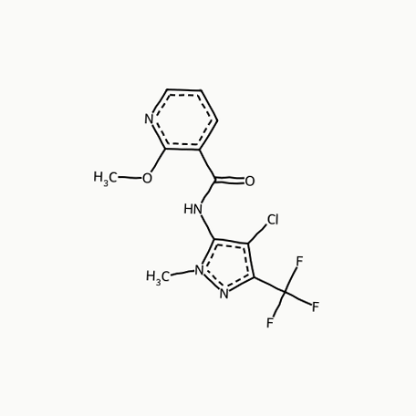 COc1ncccc1C(=O)Nc1c(Cl)c(C(F)(F)F)nn1C